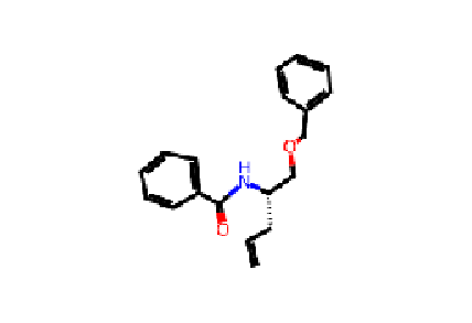 C=CC[C@@H](COCc1ccccc1)NC(=O)c1ccccc1